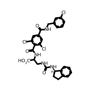 O=C(NCC(NC(=O)c1c(Cl)cc(C(=O)NCc2cccc(Cl)c2)cc1Cl)C(=O)O)N[C@@H]1CCc2ccccc21